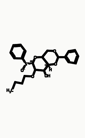 CCCCOC1C(O)[C@@H]2OC(c3ccccc3)OCC2O[C@@H]1[S+]([O-])c1ccccc1